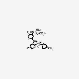 Cc1ccc(S(=O)(=O)n2cc(-c3cc(N[C@H](CC(=O)O)C(C)(C)C)c(F)cn3)c3cc(Cl)cnc32)cc1